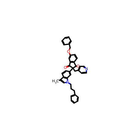 Cc1cn(CCCc2ccccc2)c2cc(C3(Cc4ccncc4)C(=O)c4ccc(OCc5ccccc5)cc4C3=O)ccc12